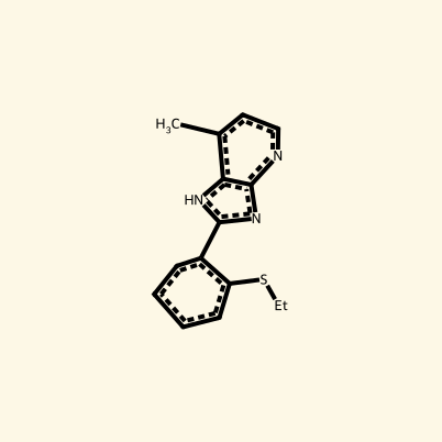 CCSc1ccccc1-c1nc2nccc(C)c2[nH]1